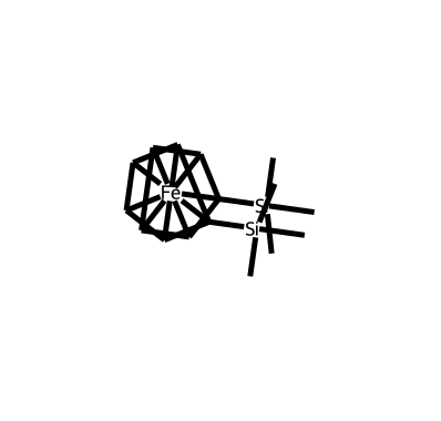 C[Si](C)(C)[C]12[CH]3[CH]4[CH]5[CH]1[Fe]45321678[CH]2[CH]1[CH]6[C]7([Si](C)(C)C)[CH]28